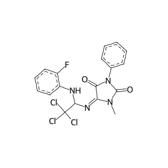 CN1C(=O)N(c2ccccc2)C(=O)C1=NC(Nc1ccccc1F)C(Cl)(Cl)Cl